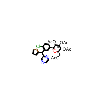 CC(=O)OC[C@H]1O[C@@H](c2ccc(Cl)c(C(c3cnccn3)c3cccs3)c2)[C@H](OC(C)=O)[C@@H](OC(C)=O)[C@@H]1OC(C)=O